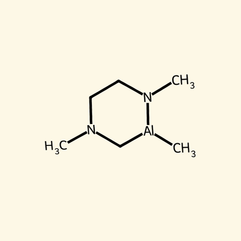 CN1CC[N](C)[Al]([CH3])[CH2]1